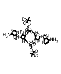 CCC(C)(C)C(=O)OCOP1(=O)OC[C@H]2O[C@@H](n3cnc4c(N)ccnc43)C(F)[C@H]2OP(=O)(OCOC(=O)C(C)(C)CC)OC[C@H]2C[C@@H](n3cnc4c(N)ncnc43)C(F)[C@H]2O1